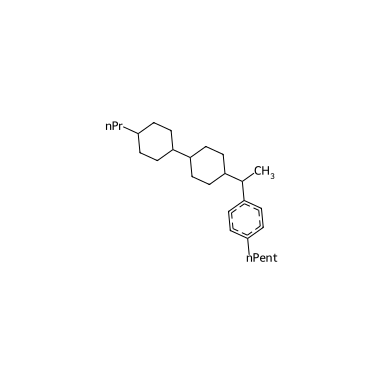 CCCCCc1ccc(C(C)C2CCC(C3CCC(CCC)CC3)CC2)cc1